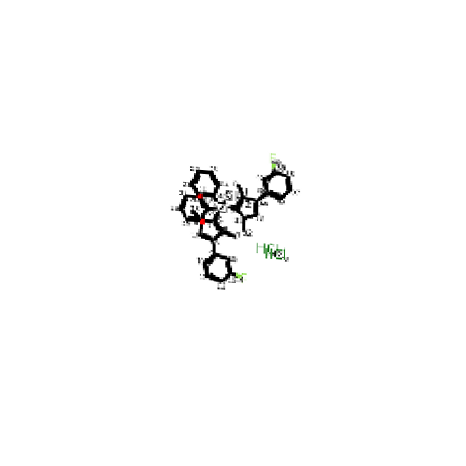 CC1=[C]([Zr](=[SiH2])([C]2=C(C)C(c3cccc(F)c3)=CC2C)([c]2ccccc2)[c]2ccccc2)C(C)C=C1c1cccc(F)c1.Cl.Cl